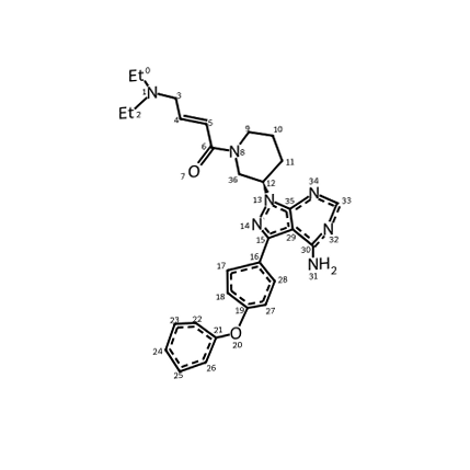 CCN(CC)C/C=C/C(=O)N1CCC[C@@H](n2nc(-c3ccc(Oc4ccccc4)cc3)c3c(N)ncnc32)C1